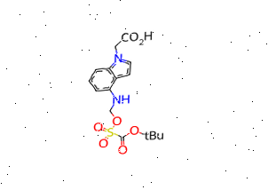 CC(C)(C)OC(=O)S(=O)(=O)OCNc1cccc2c1ccn2CC(=O)O